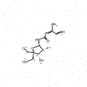 N=C/C(N)=N\C(=O)N[C@@H]1O[C@@](CO)(CCl)[C@@H](O)[C@H]1F